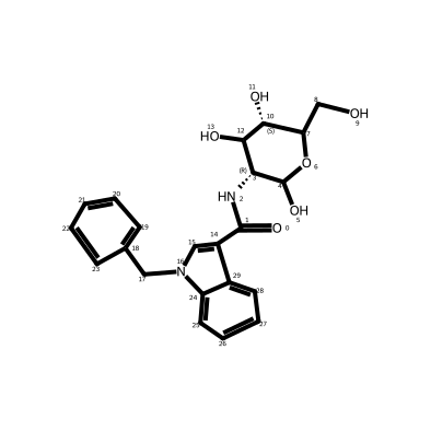 O=C(N[C@H]1C(O)OC(CO)[C@@H](O)C1O)c1cn(Cc2ccccc2)c2ccccc12